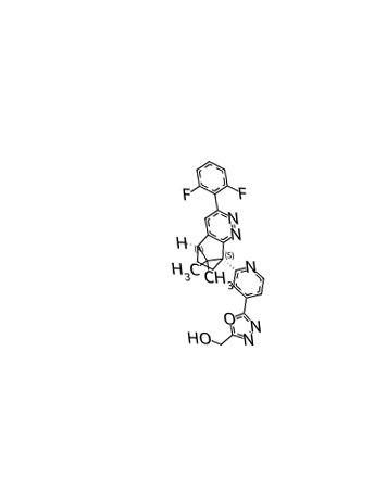 CC1(C)[C@H]2CC[C@]1(c1cc(-c3nnc(CO)o3)ccn1)c1nnc(-c3c(F)cccc3F)cc12